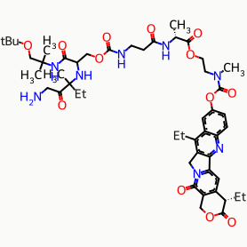 CCc1c2c(nc3ccc(OC(=O)N(C)CCOC(=O)[C@@H](C)NC(=O)CCNC(=O)OCC(NC(C)(CC)C(=O)CN)C(=O)NC(C)(C)COC(C)(C)C)cc13)-c1cc3c(c(=O)n1C2)COC(=O)[C@H]3CC